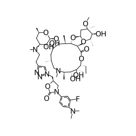 CC[C@H]1OC(=O)[C@H](C)[C@@H](O[C@H]2C[C@@](C)(OC)[C@@H](O)[C@H](C)O2)[C@H](C)[C@@H](O[C@@H]2O[C@H](C)C[C@H](N(C)CCc3cn(C[C@H]4CN(c5ccc(N(C)C)c(F)c5)C(=O)O4)nn3)[C@H]2O)[C@](C)(O)C[C@@H](C)CN(C)[C@H](C)[C@@H](O)[C@]1(C)O